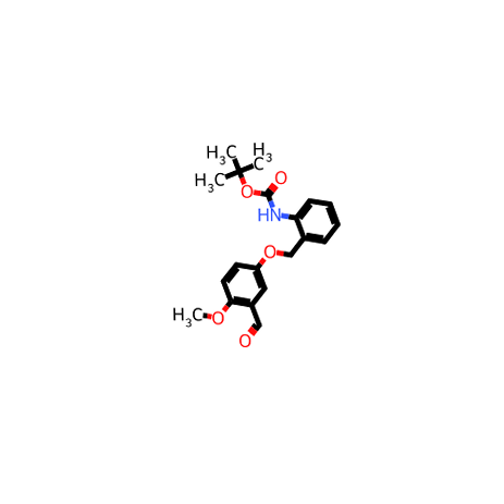 COc1ccc(OCc2ccccc2NC(=O)OC(C)(C)C)cc1C=O